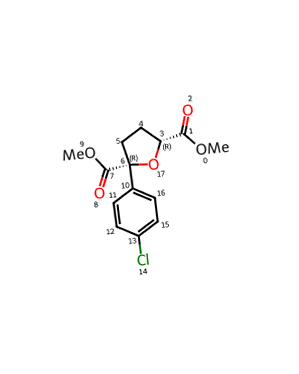 COC(=O)[C@H]1CC[C@](C(=O)OC)(c2ccc(Cl)cc2)O1